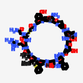 CCCC[C@H]1C(=O)N[C@@H](CCCNC(=N)N)C(=O)NC(C(=O)NCC(N)=O)CSCC(=O)N[C@@H](Cc2ccc(O)cc2)C(=O)N(C)[C@@H](C)C(=O)N[C@@H](CC(N)=O)C(=O)N2CCC[C@H]2C(=O)N[C@@H](Cc2cnc[nH]2)C(=O)N[C@@H](CO)C(=O)N2C[C@H](O)C[C@H]2C(=O)N[C@@H](Cc2c[nH]c3ccccc23)C(=O)N[C@@H](CO)C(=O)N[C@@H](Cc2csc3ccccc23)C(=O)N(C)[C@@H](CCSC)C(=O)N1C